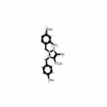 CCOC(=O)C1=C(O)NN(Cc2ccc(NC(C)=O)cc2[N+](=O)[O-])N1Cc1ccc(OC)cc1